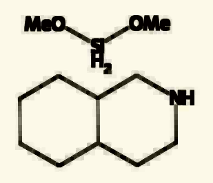 C1CCC2CNCCC2C1.CO[SiH2]OC